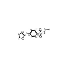 C1=NCCO1.CCOS(=O)(=O)c1ccc(C)cc1